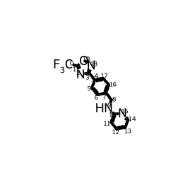 FC(F)(F)c1nc(-c2ccc(CNc3ccccn3)cc2)no1